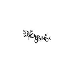 CC(C)OC(=S)NC[C@H]1CN(c2cc(F)c(N3CCCSCC3)c(F)c2)C(=O)O1